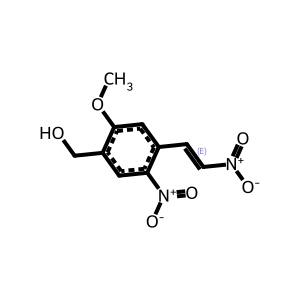 COc1cc(/C=C/[N+](=O)[O-])c([N+](=O)[O-])cc1CO